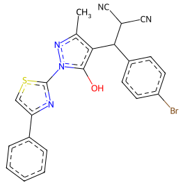 Cc1nn(-c2nc(-c3ccccc3)cs2)c(O)c1C(c1ccc(Br)cc1)C(C#N)C#N